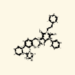 CCCc1nc2c(c(=O)n(CCc3ccccc3)c(=O)n2-c2ccccc2)n1Cc1ccc(-c2ccccc2-c2nnn[nH]2)cc1